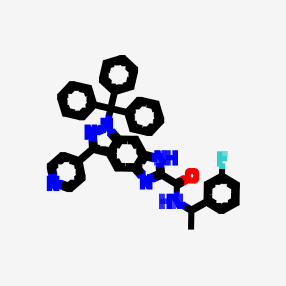 CC(NC(=O)c1nc2cc3c(-c4ccncc4)nn(C(c4ccccc4)(c4ccccc4)c4ccccc4)c3cc2[nH]1)c1cccc(F)c1